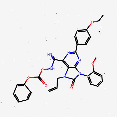 C=CCn1c(=O)n(-c2ccccc2OC)c2nc(-c3ccc(OCC)cc3)nc(C(=N)NOC(=O)Oc3ccccc3)c21